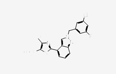 CCOC(=O)c1sc(-c2cccc3nn(Cc4cc(F)cc(Cl)c4)cc23)nc1C